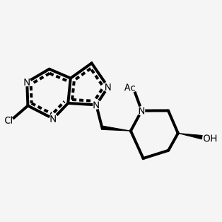 CC(=O)N1C[C@@H](O)CC[C@H]1Cn1ncc2cnc(Cl)nc21